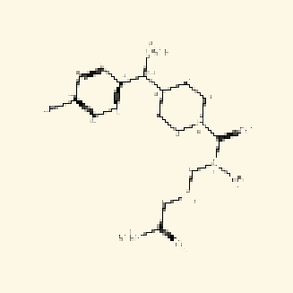 CCCN(COCC(=O)NC)C(=O)N1CCC(C(OC)c2ccc(F)cc2)CC1